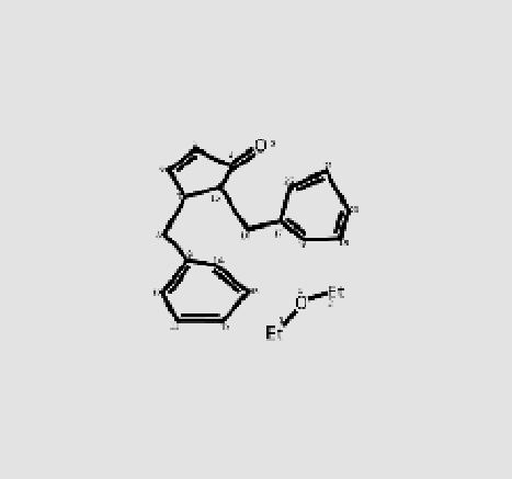 CCOCC.O=C1C=CC(Cc2ccccc2)C1Cc1ccccc1